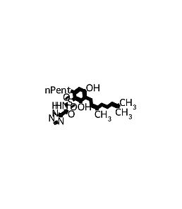 CCCCCc1cc(O)c(CC=C(C)CCC=C(C)C)c(O)c1S(=O)(=O)NC(=O)c1ncn[nH]1